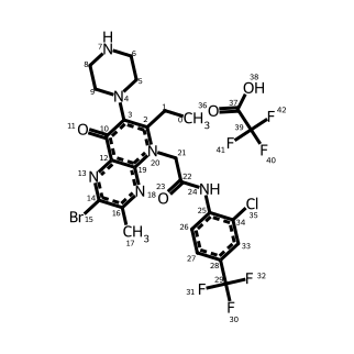 CCc1c(N2CCNCC2)c(=O)c2nc(Br)c(C)nc2n1CC(=O)Nc1ccc(C(F)(F)F)cc1Cl.O=C(O)C(F)(F)F